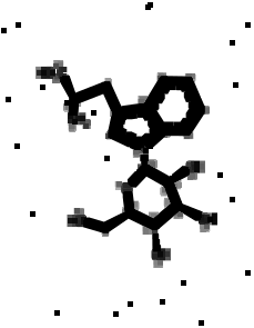 N[C@H](Cc1cn([C@H]2O[C@H](CO)[C@@H](O)[C@H](O)[C@@H]2O)c2ccccc12)C(=O)O